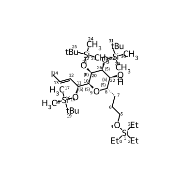 CC[Si](CC)(CC)OCCC[C@@H]1O[C@@H]([C@H](C=CI)O[Si](C)(C)C(C)(C)C)[C@@H](O[Si](C)(C)C(C)(C)C)[C@@H](O[Si](C)(C)C(C)(C)C)[C@H]1O